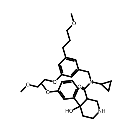 COCCCc1cc(CN(C(=O)C2CNCCC2(O)c2cccc(OC)c2)C2CC2)cc(OCCOC)c1